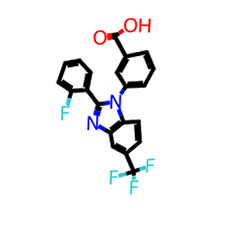 O=C(O)c1cccc(-n2c(-c3ccccc3F)nc3cc(C(F)(F)F)ccc32)c1